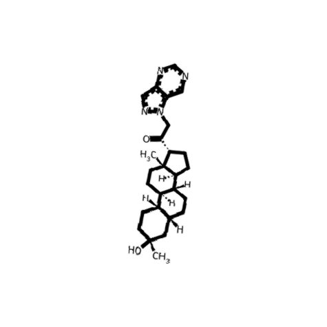 C[C@@]1(O)CC[C@H]2[C@H](CC[C@@H]3[C@@H]2CC[C@]2(C)[C@H](C(=O)Cn4ncc5ncncc54)CC[C@@H]32)C1